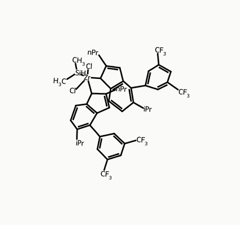 CCCC1=Cc2c(ccc(C(C)C)c2-c2cc(C(F)(F)F)cc(C(F)(F)F)c2)[CH]1[Zr]([Cl])([Cl])([CH]1C(CCC)=Cc2c1ccc(C(C)C)c2-c1cc(C(F)(F)F)cc(C(F)(F)F)c1)[SiH](C)C